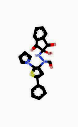 O=CN(NC1(O)C(=O)c2ccccc2C1=O)c1cc(-c2ccccc2)sc1-n1cccc1